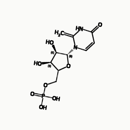 C=C1NC(=O)C=CN1[C@@H]1OC(COP(=O)(O)O)[C@@H](O)[C@H]1O